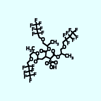 CC(COCC(F)(F)C(F)(F)C(F)(F)F)OC(=O)CC(C(=O)OC(C)COCC(F)(F)C(F)(F)C(F)(F)F)C(C(=O)OC(C)COCC(F)(F)C(F)(F)C(F)(F)F)S(=O)(=O)O